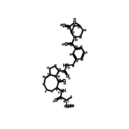 CN[C@@H](C)C(=O)NC1CCCCC2CCC(C(=O)NCc3cccc(C(=O)N4CCC5CC4C(=O)O5)c3)N2C1=O